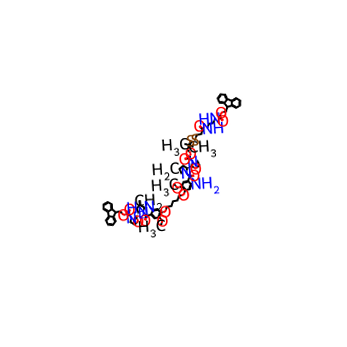 C=C1C[C@@H](C2OCCN2C(=O)OCC2c3ccccc3-c3ccccc32)N(C(=O)c2cc(OC)c(OCCCCCOc3cc(N)c(C(=O)N4CC(=C)C[C@H]4C4OCCN4C(=O)OCC(C)(C)SSCCC(=O)NCCNC(=O)OCC4c5ccccc5-c5ccccc54)cc3OC)cc2N)C1